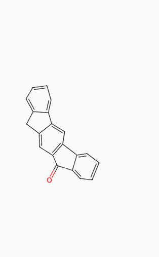 O=C1c2ccccc2-c2cc3c(cc21)Cc1ccccc1-3